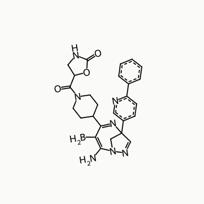 BC1=C(N)N2CC(c3ccc(-c4ccccc4)nc3)(C=N2)N=C1C1CCN(C(=O)C2CNC(=O)O2)CC1